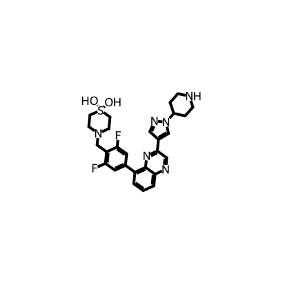 OS1(O)CCN(Cc2c(F)cc(-c3cccc4ncc(-c5cnn(C6CCNCC6)c5)nc34)cc2F)CC1